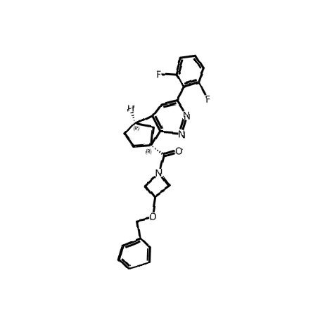 O=C(N1CC(OCc2ccccc2)C1)[C@]12CC[C@H](C1)c1cc(-c3c(F)cccc3F)nnc12